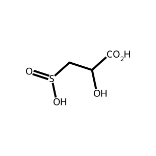 O=C(O)C(O)CS(=O)O